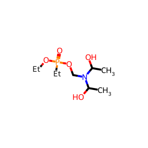 CCOP(=O)(CC)OCN(C(C)O)C(C)O